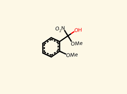 COc1ccccc1C(O)(OC)[N+](=O)[O-]